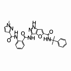 Cn1ccc(C(=O)Nc2ccccc2C(=O)Nc2n[nH]c3cc(C(=O)NC(C)(C)c4ccccc4)oc23)n1